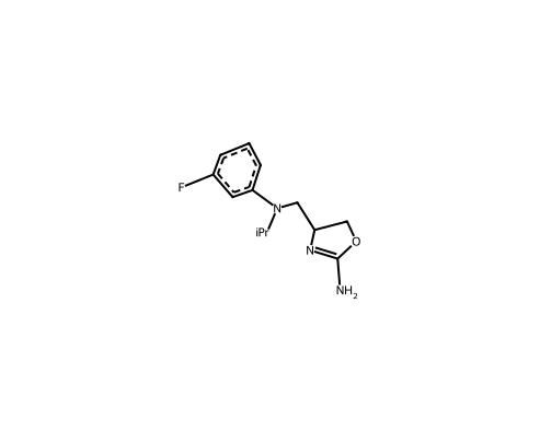 CC(C)N(CC1COC(N)=N1)c1cccc(F)c1